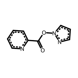 O=C(On1cccn1)c1ccccn1